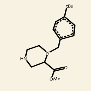 COC(=O)C1CNCCN1Cc1ccc(C(C)(C)C)cc1